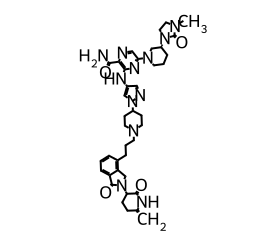 C=C1CCC(N2Cc3c(CCCN4CCC(n5cc(Nc6nc(N7CCC[C@H](N8CCN(C)C8=O)C7)cnc6C(N)=O)cn5)CC4)cccc3C2=O)C(=O)N1